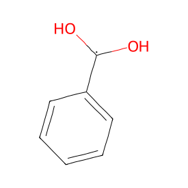 O[C](O)c1ccccc1